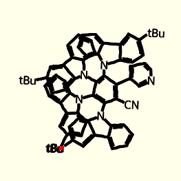 CC(C)(C)c1ccc2c(c1)c1ccccc1n2-c1c(C#N)c(-c2cccnc2)c(-n2c3ccccc3c3cc(C(C)(C)C)ccc32)c(-n2c3ccccc3c3cc(C(C)(C)C)ccc32)c1-n1c2ccccc2c2cc(C(C)(C)C)ccc21